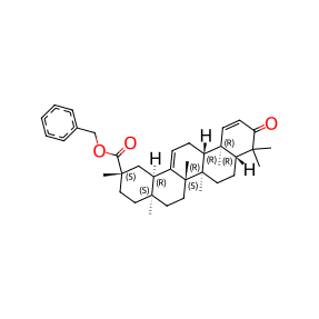 CC1(C)C(=O)C=C[C@]2(C)[C@H]3CC=C4[C@@H]5C[C@@](C)(C(=O)OCc6ccccc6)CC[C@]5(C)CC[C@@]4(C)[C@]3(C)CC[C@@H]12